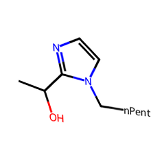 CCCCCCn1ccnc1C(C)O